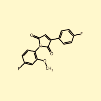 COc1cc(F)ccc1N1C(=O)C=C(c2ccc(F)cc2)C1=O